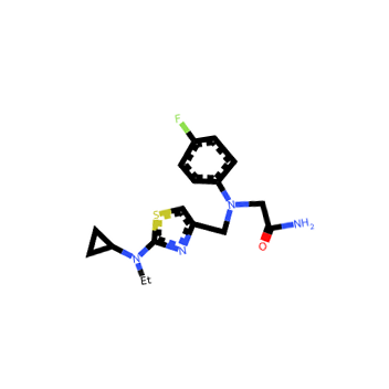 CCN(c1nc(CN(CC(N)=O)c2ccc(F)cc2)cs1)C1CC1